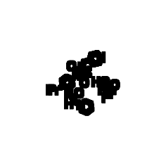 CC(C)c1ccc(N2C(=O)N(Cc3ccncc3)C(C)(C)C2=O)cc1NC(=O)CN1CCCCC1.O=C(O)C(F)(F)F